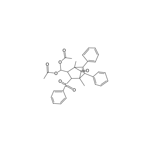 CC(=O)OC(OC(C)=O)C1C(S(=O)(=O)c2ccccc2)C2(C)C(=O)C1(C)C(c1ccccc1)=C2c1ccccc1